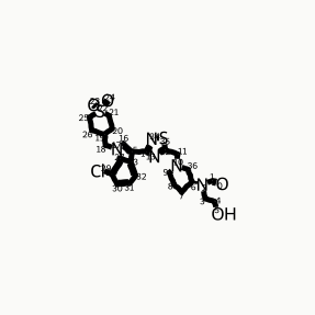 O=CN(CCO)[C@H]1CCCN(Cc2nc(-c3cn(CC4CCS(=O)(=O)CC4)c4c(Cl)cccc34)ns2)C1